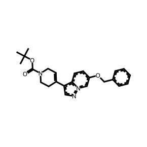 CC(C)(C)OC(=O)N1CC=C(c2cnn3cc(OCc4ccccc4)ccc23)CC1